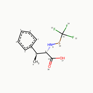 C[C@@H](c1ccccc1)[C@H](NSC(F)(F)F)C(=O)O